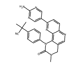 CN1Cc2cnc3ccc(-c4cnc(N)nc4)nc3c2N(c2ccc(C(C)(C)C#N)cc2)C1=O